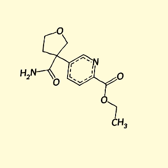 CCOC(=O)c1ccc(C2(C(N)=O)CCOC2)cn1